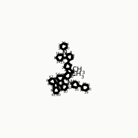 CC1(C)c2cc(-c3cccc4c3c3ccccc3n4-c3ccccc3)ccc2-c2ccc(N(c3ccc(-c4ccccc4)cc3)c3cccc4c3-c3ccccc3C43c4ccccc4-c4ccccc43)cc21